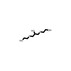 OCCSCC(O)CSCCO